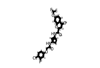 O=C(COc1ccc(Cl)c(F)c1)NC12CC(C1)C(NC(=O)c1cc(=O)c3ccc(OC(F)F)cc3o1)C2